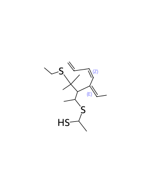 C=C/C=C\C(=C/C)C(C(C)SC(C)S)C(C)(C)SCC